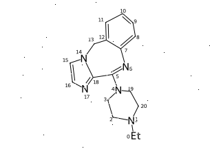 CCN1CCN(C2=Nc3ccccc3Cn3ccnc32)CC1